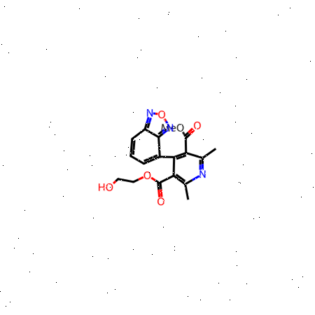 COC(=O)c1c(C)nc(C)c(C(=O)OCCO)c1-c1cccc2nonc12